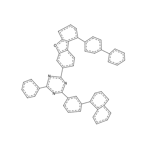 c1ccc(-c2ccc(-c3cccc4oc5cc(-c6nc(-c7ccccc7)nc(-c7cccc(-c8cccc9ccccc89)c7)n6)ccc5c34)cc2)cc1